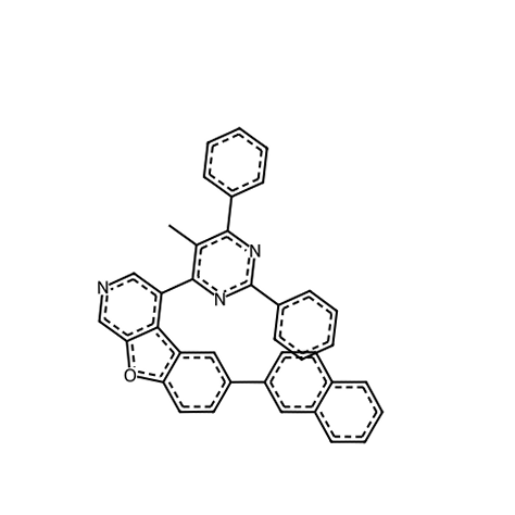 Cc1c(-c2ccccc2)nc(-c2ccccc2)nc1-c1cncc2oc3ccc(-c4ccc5ccccc5c4)cc3c12